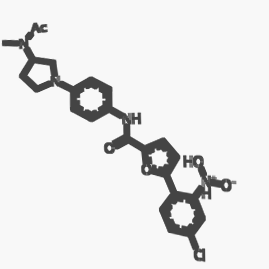 CC(=O)N(C)C1CCN(c2ccc(NC(=O)c3ccc(-c4ccc(Cl)cc4[NH+]([O-])O)o3)cc2)C1